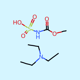 CCN(CC)CC.COC(=O)NS(=O)(=O)O